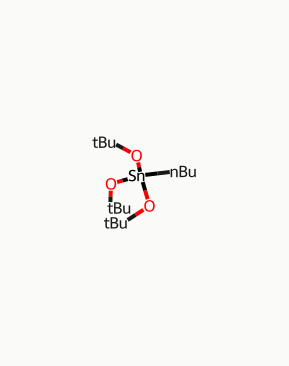 CCC[CH2][Sn]([O]C(C)(C)C)([O]C(C)(C)C)[O]C(C)(C)C